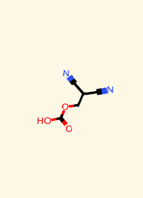 N#CC(C#N)COC(=O)O